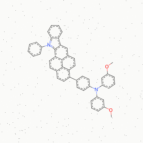 COc1cccc(N(c2ccc(-c3ccc4ccc5c6c(ccc3c46)cc3c4ccccc4n(-c4ccccc4)c35)cc2)c2cccc(OC)c2)c1